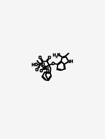 CCOP(=O)(OCC)C(Cc1ccccc1)(Oc1cccc2[nH]c(C)c(N)c12)C(=O)C(=O)P(=O)(O)O